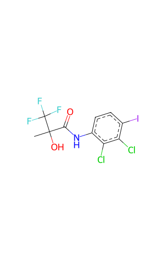 CC(O)(C(=O)Nc1ccc(I)c(Cl)c1Cl)C(F)(F)F